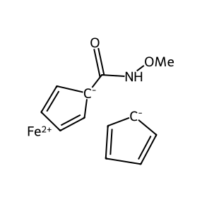 CONC(=O)[c-]1cccc1.[Fe+2].c1cc[cH-]c1